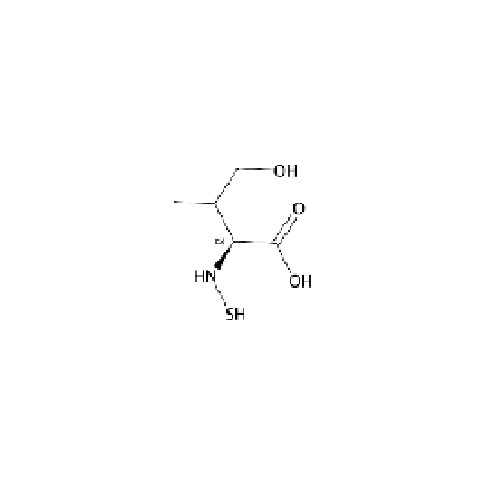 CC(CO)[C@H](NS)C(=O)O